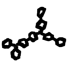 C1=CC(N(C2=CC=C(C3=CC=C(N(c4ccc(-c5ccccc5)cc4)c4ccc(-c5ccccc5)cc4)CC3)CC2)c2ccccc2)=CCC1